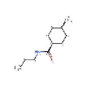 CCCNC(=O)[C@H]1CC[C@@H](C)CC1